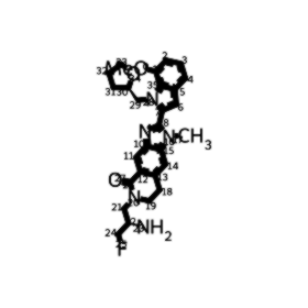 COc1cccc2cc(-c3nc4cc5c(cc4n3C)CCN(C[C@H](N)CF)C5=O)n(C[C@H]3CCCO3)c12